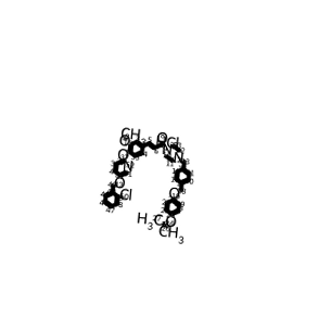 COc1cc(C=CC(=O)N2CCN(Cc3ccc(COc4ccc(OC(C)C)cc4)cc3)CC2)ccc1Oc1ccc(OCc2ccccc2Cl)cn1.Cl